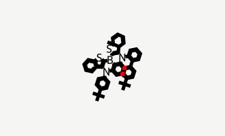 Cc1cc2c3c(c1)N(c1ccc(C(C)(C)C)cc1)c1c(sc4ccccc14)B3C1=C(C3C=CC=CC3(C)S1)N2c1ccccc1-c1ccc(C(C)(C)C)cc1